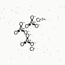 O=[N+]([O-])[O-].O=[N+]([O-])[O-].O=[N+]([O-])[O-].[Cr+3].[Cr]